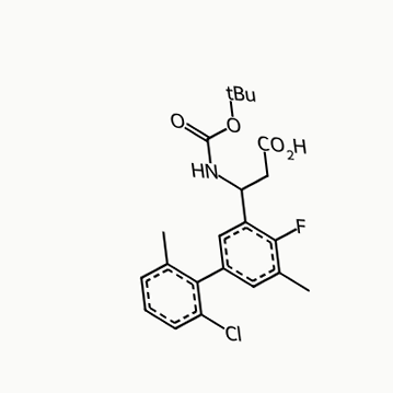 Cc1cc(-c2c(C)cccc2Cl)cc(C(CC(=O)O)NC(=O)OC(C)(C)C)c1F